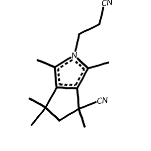 Cc1c2c(c(C)n1CCC#N)C(C)(C#N)CC2(C)C